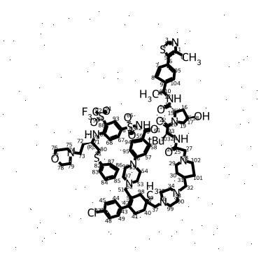 Cc1ncsc1-c1ccc([C@H](C)NC(=O)[C@@H]2C[C@@H](O)CN2C(=O)[C@@H](NC(=O)CN2CCC(CN3CCN(CC4(C)CCC(c5ccc(Cl)cc5)=C(CN5CCN(c6ccc(C(=O)NS(=O)(=O)c7ccc(N[C@H](CCN8CCOCC8)CSc8ccccc8)c(S(=O)(=O)C(F)(F)F)c7)cc6)CC5)C4)CC3)CC2)C(C)(C)C)cc1